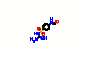 N=C(N)NS(=O)(=O)c1ccc(NC=O)cc1